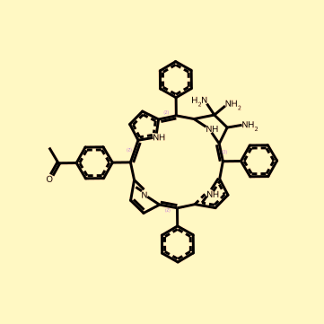 CC(=O)c1ccc(/C2=c3\cc/c([nH]3)=C(\c3ccccc3)C3N/C(=C(/c4ccccc4)c4ccc([nH]4)/C(c4ccccc4)=C4/C=CC2=N4)C(N)C3(N)N)cc1